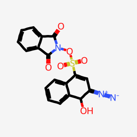 [N-]=[N+]=C1C=C(S(=O)(=O)ON2C(=O)c3ccccc3C2=O)c2ccccc2C1O